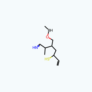 C=CC(S)CC(COBC)C(C)C=N